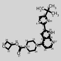 CC(C)(C)c1csc(-c2cc3c(N4CCN(C(=O)OC5COC5)CC4)ccnc3[nH]2)n1